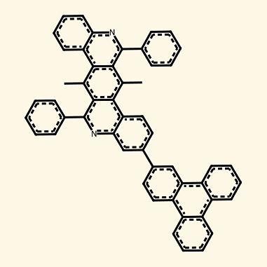 Cc1c2c(-c3ccccc3)nc3cc(-c4ccc5c6ccccc6c6ccccc6c5c4)ccc3c2c(C)c2c(-c3ccccc3)nc3ccccc3c12